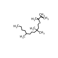 C=C(C)C(=C)SCCC(C)(C)CCCC(C)CCCC